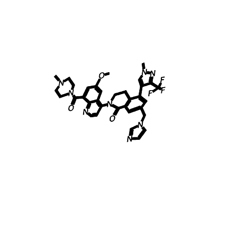 COc1cc(C(=O)N2CCN(C)CC2)c2nccc(N3CCc4c(cc(Cn5ccnc5)cc4-c4cn(C)nc4C(F)(F)F)C3=O)c2c1